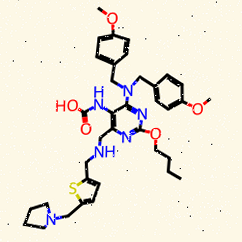 CCCCOc1nc(CNCc2ccc(CN3CCCC3)s2)c(NC(=O)O)c(N(Cc2ccc(OC)cc2)Cc2ccc(OC)cc2)n1